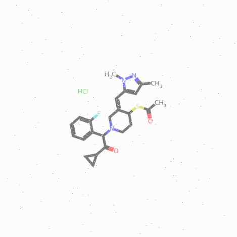 CC(=O)SC1CCN(C(C(=O)C2CC2)c2ccccc2F)C/C1=C/c1cc(C)nn1C.Cl